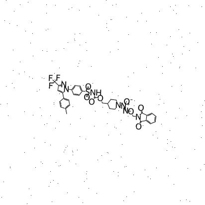 Cc1ccc(-c2cc(C(F)(F)F)nn2-c2ccc(S(=O)(=O)NC(=O)OCC3CCN([N+]([O-])=NOCN4C(=O)c5ccccc5C4=O)CC3)cc2)cc1